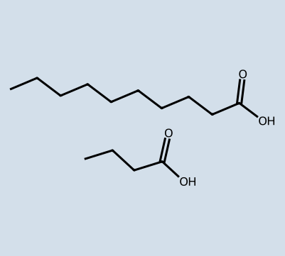 CCCC(=O)O.CCCCCCCCCC(=O)O